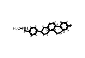 CNCc1ccc(C2CCc3c(ccc4c3CCc3cc(F)ccc3-4)C2)cc1